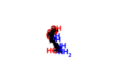 Nc1nc(O)c2c(n1)NCC(CCc1ccc(C(=O)N[C@@H](CCC(=O)O)C(=O)O)[nH]1)C2